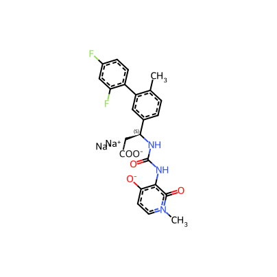 Cc1ccc([C@H](CC(=O)[O-])NC(=O)Nc2c([O-])ccn(C)c2=O)cc1-c1ccc(F)cc1F.[Na+].[Na+]